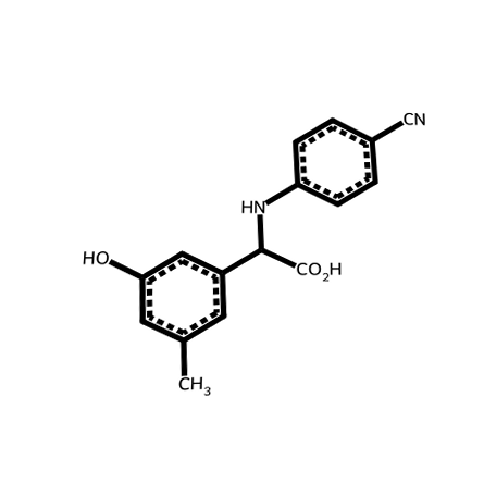 Cc1cc(O)cc(C(Nc2ccc(C#N)cc2)C(=O)O)c1